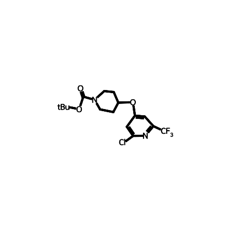 CC(C)(C)OC(=O)N1CCC(Oc2cc(Cl)nc(C(F)(F)F)c2)CC1